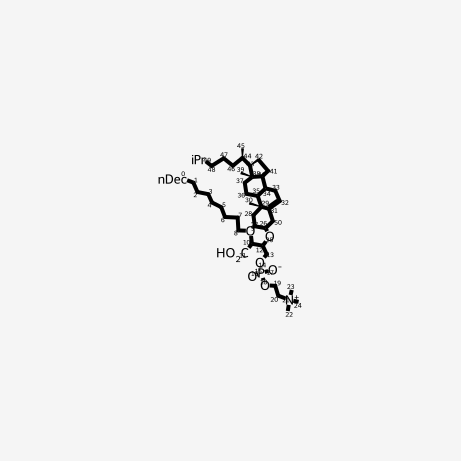 CCCCCCCCCCCCCCCCCCOC(C(=O)O)C(COP(=O)([O-])OCC[N+](C)(C)C)OC1CC[C@@]2(C)C(=CCC3C2CC[C@@]2(C)C3CC[C@@H]2[C@H](C)CCCC(C)C)C1